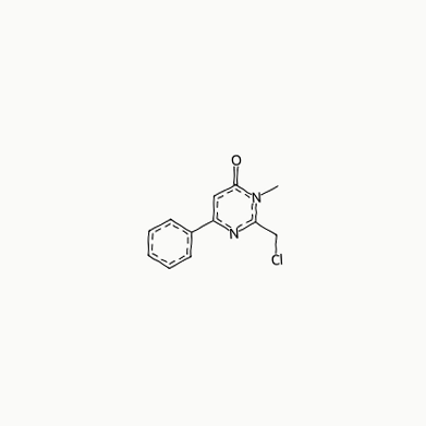 Cn1c(CCl)nc(-c2ccccc2)cc1=O